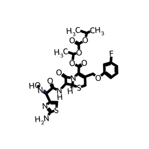 CC(C)OC(=O)OC(C)OC(=O)C1=C(COc2cccc(F)c2)CS[C@@H]2C(NC(=O)/C(=N\O)c3csc(N)n3)C(=O)N12